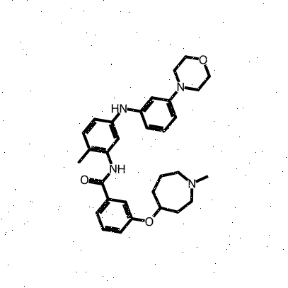 Cc1ccc(Nc2cccc(N3CCOCC3)c2)cc1NC(=O)c1cccc(OC2CCCN(C)CC2)c1